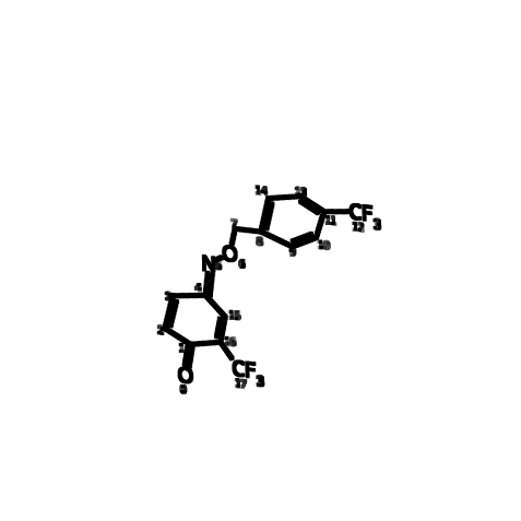 O=C1C=CC(=NOCc2ccc(C(F)(F)F)cc2)C=C1C(F)(F)F